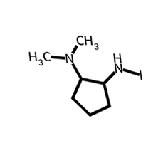 CN(C)C1CCCC1NI